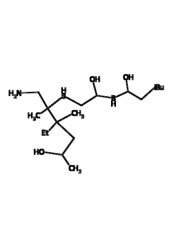 CCC(C)CC(O)BC(O)CBC(C)(CN)C(C)(CC)CC(C)O